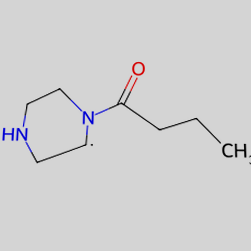 CCCC(=O)N1[CH]CNCC1